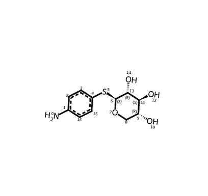 Nc1ccc(S[C@@H]2OC[C@@H](O)[C@H](O)[C@H]2O)cc1